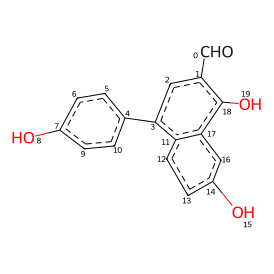 O=Cc1cc(-c2ccc(O)cc2)c2ccc(O)cc2c1O